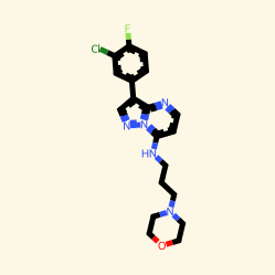 Fc1ccc(-c2cnn3c(NCCCN4CCOCC4)ccnc23)cc1Cl